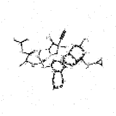 C#C[C@@]1(F)[C@H](O)[C@@H](CO[P@@](=O)(N[C@@H](C)C(=O)OC(C)C)Oc2cccc3ccccc23)O[C@H]1n1cnc2c(NC3CC3)nc(N)nc21